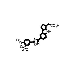 CC(C)Oc1ccc(-c2nc(-c3ccc4[nH]c5c(c4c3)CCC5CC(=O)O)no2)cc1S(C)(=O)=O